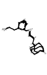 NCCc1cccc(OCCCC23CC4CC(CC(C4)C2)C3)c1